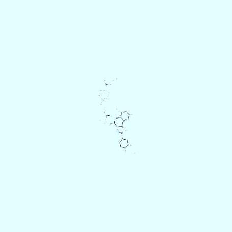 COc1ccc(-c2nc3c4cccc(Br)c4nc(N[C@H](C)C(=O)NCCN4CCN(C(=O)OC(C)(C)C)CC4)n3n2)cc1